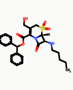 CCCCCN[C@H]1C(=O)N2C(C(=O)OC(c3ccccc3)c3ccccc3)=C(CO)CS(=O)(=O)[C@H]12